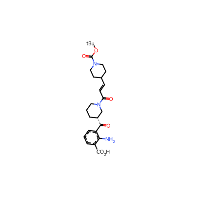 CC(C)(C)OC(=O)N1CCC(/C=C/C(=O)N2CCC[C@@H](C(=O)c3cccc(C(=O)O)c3N)C2)CC1